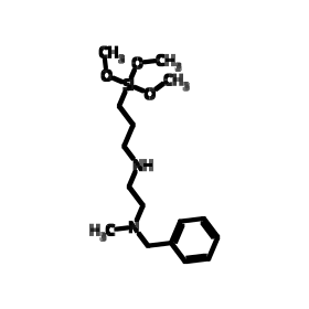 CO[Si](CCCNCCN(C)Cc1ccccc1)(OC)OC